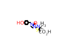 Cc1nc(N2CCN(Cc3ccc(O)cc3)C2=O)sc1C(=O)O